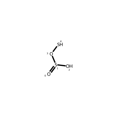 O=S(O)OS